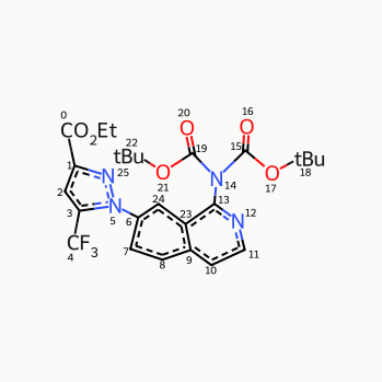 CCOC(=O)c1cc(C(F)(F)F)n(-c2ccc3ccnc(N(C(=O)OC(C)(C)C)C(=O)OC(C)(C)C)c3c2)n1